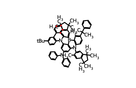 Cc1cc2c(cc1N1c3ccc(C(C)(C)c4ccccc4)cc3B3c4cc5c(cc4N(c4ccc(C(C)(C)C)cc4-c4ccccc4)c4cc(N(c6ccccc6)c6ccccc6)cc1c43)C(C)(C)CC5(C)C)C(C)(C)CC2(C)C